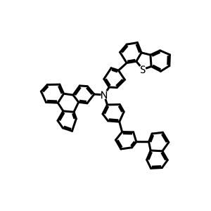 c1cc(-c2ccc(N(c3ccc(-c4cccc5c4sc4ccccc45)cc3)c3ccc4c5ccccc5c5ccccc5c4c3)cc2)cc(-c2cccc3ccccc23)c1